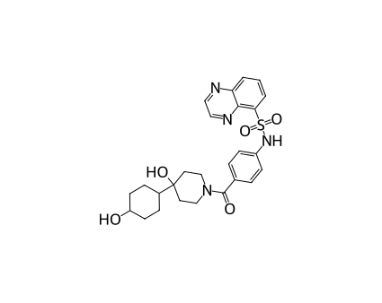 O=C(c1ccc(NS(=O)(=O)c2cccc3nccnc23)cc1)N1CCC(O)(C2CCC(O)CC2)CC1